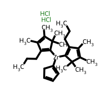 CCCC1=[C]([Zr]([C]2=CC=CC2)[C]2=C(CCC)C(C)=C(C)C2(C)C)C(C)(C)C(C)=C1C.Cl.Cl